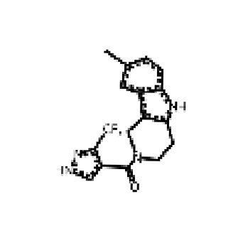 Cc1ccc2[nH]c3c(c2c1)CN(C(=O)c1c[nH]nc1C(F)(F)F)CC3